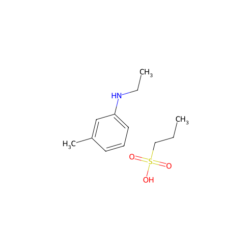 CCCS(=O)(=O)O.CCNc1cccc(C)c1